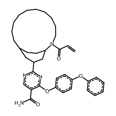 C=CC(=O)N1CCCCCCCCCCC2CCC1CC(c1ncc(C(N)=O)c(Oc3ccc(Oc4ccccc4)cc3)n1)C2